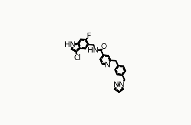 O=C(NCc1cc2c(Cl)c[nH]c2cc1F)c1ccnc(Cc2ccc(Cn3cccn3)cc2)c1